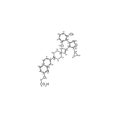 O=C(O)COc1cnc2ccc(N3CCC4(C=C(c5c(-c6c(Cl)cccc6Cl)noc5C5CC5)C4)CC3)cc2n1